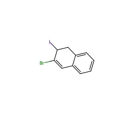 BrC1=Cc2ccccc2CC1I